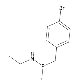 CCNP(C)Cc1ccc(Br)cc1